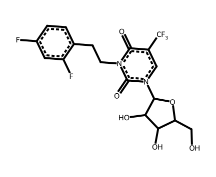 O=c1c(C(F)(F)F)cn(C2OC(CO)C(O)C2O)c(=O)n1CCc1ccc(F)cc1F